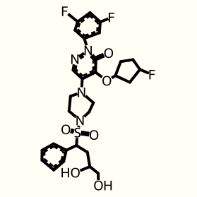 O=c1c(OC2CCC(F)C2)c(N2CCN(S(=O)(=O)C(CC(O)CO)c3ccccc3)CC2)cnn1-c1cc(F)cc(F)c1